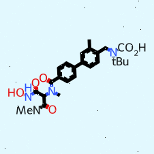 CNC(=O)C(C(=O)NO)N(C)C(=O)c1ccc(-c2ccc(CN(C(=O)O)C(C)(C)C)c(C)c2)cc1